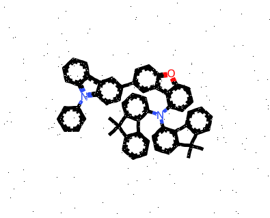 CC1(C)c2ccccc2-c2c(N(c3cccc4c3-c3ccccc3C4(C)C)c3cccc4oc5ccc(-c6ccc7c(c6)c6ccccc6n7-c6ccccc6)cc5c34)cccc21